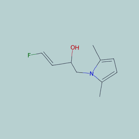 Cc1ccc(C)n1CC(O)C=CF